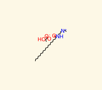 CC(O)C(=O)[O-].CCCCCCCCCCCCCCCCCC(=O)NCCC[N+](C)(C)CC